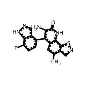 Cc1cc2c(-c3ccc(F)c4[nH]ncc34)c(N)c(=O)[nH]c2c2sncc12